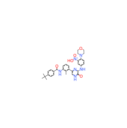 Cc1c(NC(=O)c2ccc(C(C)(C)C)cc2)cccc1-c1c[nH]c(=O)c(Nc2ccc(N3CCOCC3)c([N+](=O)O)c2)n1